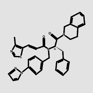 Cc1ncsc1C=CC(=O)N(Cc1ccc(-n2cccn2)cc1)[C@@H](Cc1ccccc1)C(=O)N1CCc2ccccc2C1